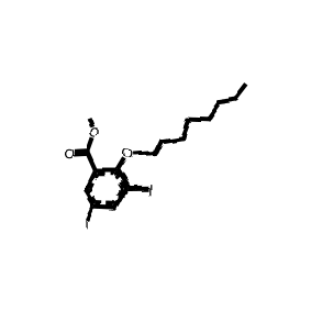 CCCCCCCCOc1c(I)cc(I)cc1C(=O)OC